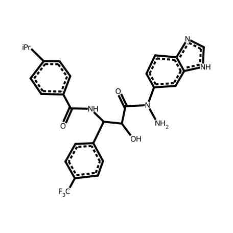 CC(C)c1ccc(C(=O)NC(c2ccc(C(F)(F)F)cc2)C(O)C(=O)N(N)c2ccc3nc[nH]c3c2)cc1